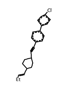 CCC=CC1CCC(C#Cc2ccc(-c3ccc(Cl)cc3)cc2)CC1